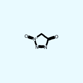 O=C1C[N+](=O)N=N1